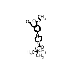 COC(=O)c1ccc(N2CCN(C(=O)OC(C)(C)C)CC2)cc1CC=O